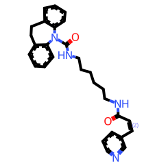 O=C(/C=C\c1cccnc1)NCCCCCCNC(=O)N1c2ccccc2CCc2ccccc21